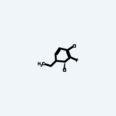 CCC1C=CC(Cl)=C(F)[C@@H]1Cl